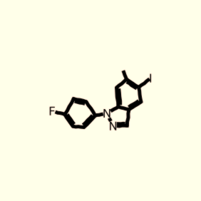 Cc1cc2c(cnn2-c2ccc(F)cc2)cc1I